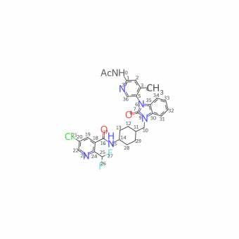 CC(=O)Nc1cc(C)c(-n2c(=O)n(CC3CCC(NC(=O)c4cc(Cl)cnc4C(F)F)CC3)c3ccccc32)cn1